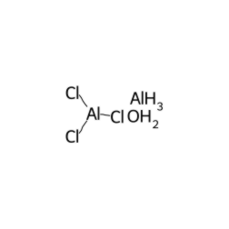 O.[AlH3].[Cl][Al]([Cl])[Cl]